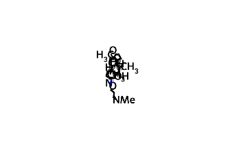 CNCCCO/N=C1/CC[C@]2(C)[C@H]3CC[C@]4(C)C(=O)CC[C@H]4[C@@H]3[C@H](C)C[C@@]2(O)C1